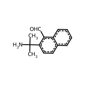 CC(C)(N)c1ccc2ccccc2c1C=O